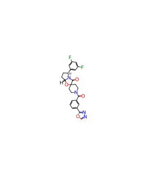 O=C(c1cccc(-c2nnco2)c1)N1CCC2(CC1)O[C@@H]1CC[C@@H](c3cc(F)cc(F)c3)N1C2=O